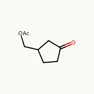 CC(=O)OCC1CCC(=O)C1